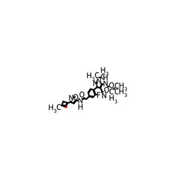 CC(C)n1nc(-c2ccc(CC(=O)Nc3cc(C45CC(C)(C4)C5)no3)cc2F)c(C#N)c1NC(=O)OC(C)(C)C